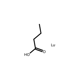 CCCC(=O)O.[Lu]